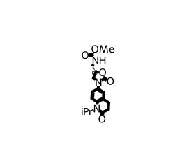 COC(=O)NC[C@H]1CN(c2ccc3c(c2)CCC(=O)N3C(C)C)C(=O)O1